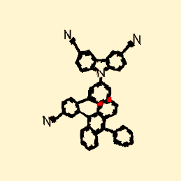 N#Cc1ccc(-c2cccc(-n3c4ccc(C#N)cc4c4cc(C#N)ccc43)c2)c(-c2c3ccccc3c(-c3ccccc3)c3ccccc23)c1